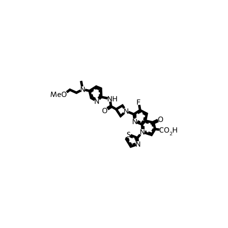 COCCN(C)c1ccc(NC(=O)C2CN(c3nc4c(cc3F)c(=O)c(C(=O)O)cn4-c3nccs3)C2)nc1